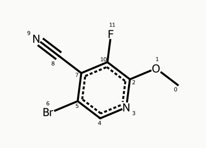 COc1ncc(Br)c(C#N)c1F